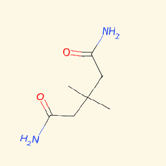 CC(C)(CC(N)=O)CC(N)=O